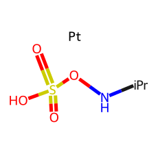 CC(C)NOS(=O)(=O)O.[Pt]